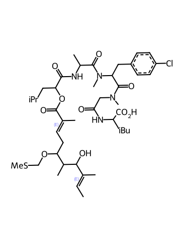 C/C=C(\C)C(O)C(C)C(C/C=C(\C)C(=O)OC(CC(C)C)C(=O)NC(C)C(=O)N(C)C(Cc1ccc(Cl)cc1)C(=O)N(C)CC(=O)NC(C(=O)O)C(C)CC)OCSC